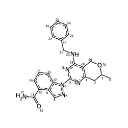 CC1Cc2nc(-n3ncc4c(C(N)=O)cccc43)nc(NCc3ccccc3)c2CO1